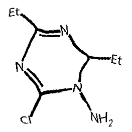 CCC1=NC(CC)N(N)C(Cl)=N1